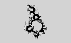 Cc1ccc(-c2ccc3c(c2)C(=O)Nc2cccc(n2)-c2nncn2C2C[C@H]2CCO3)cn1